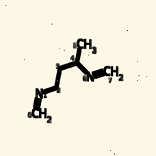 C=NCCC(C)N=C